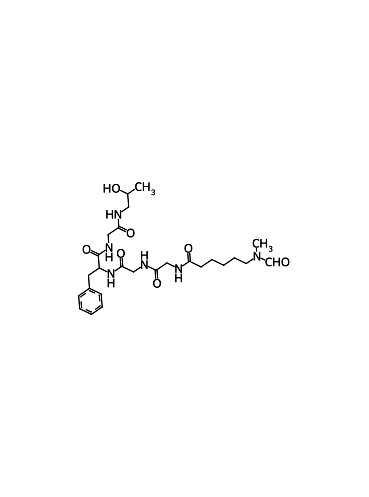 CC(O)CNC(=O)CNC(=O)C(Cc1ccccc1)NC(=O)CNC(=O)CNC(=O)CCCCCN(C)C=O